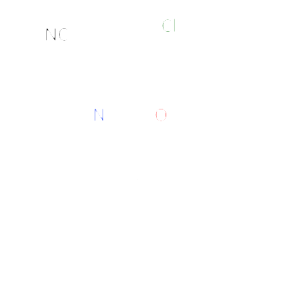 N#Cc1nc(-c2cccc3ccccc23)oc1Cl